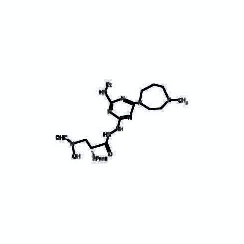 CCCCC[C@H](CN(O)C=O)C(=O)NNc1nc(NCC)nc(N2CCCN(C)CC2)n1